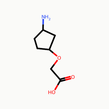 NC1CCC(OCC(=O)O)C1